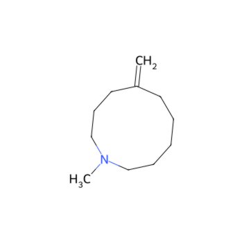 C=C1CCCCCN(C)CCC1